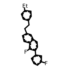 CCc1ccc(CCc2ccc3c(F)c(-c4cccc(F)c4)ccc3c2)cc1